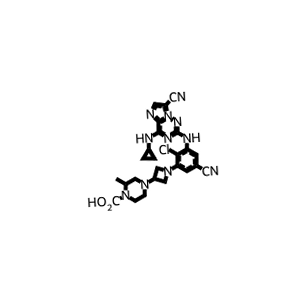 CC1CN(C2CN(c3cc(C#N)cc(Nc4nc(NC5CC5)c5ncc(C#N)n5n4)c3Cl)C2)CCN1C(=O)O